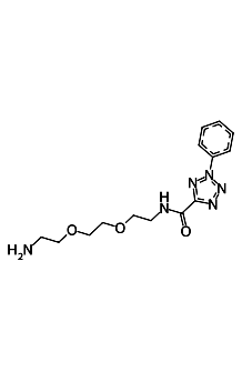 NCCOCCOCCNC(=O)c1nnn(-c2ccccc2)n1